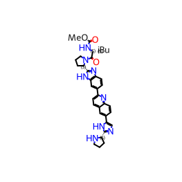 CC[C@H](C)[C@H](NC(=O)OC)C(=O)N1CCC[C@H]1c1nc2ccc(-c3ccc4cc(-c5cnc([C@@H]6CCCN6)[nH]5)ccc4n3)cc2[nH]1